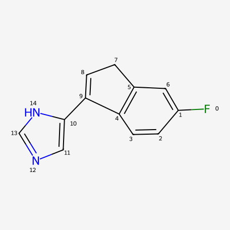 Fc1ccc2c(c1)CC=C2c1cnc[nH]1